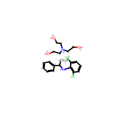 O=C(O)C(Nc1c(Cl)cccc1Cl)c1ccccc1.OCCN(CCO)CCO